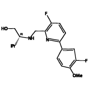 COc1ccc(-c2ccc(F)c(CN[C@@H](CO)C(C)C)n2)cc1F